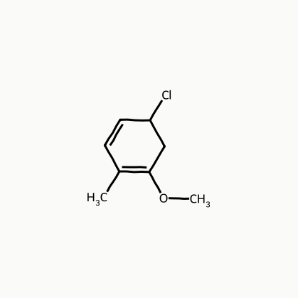 COC1=C(C)C=CC(Cl)C1